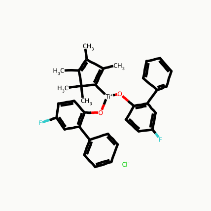 CC1=C(C)C(C)(C)[C]([Ti+]([O]c2ccc(F)cc2-c2ccccc2)[O]c2ccc(F)cc2-c2ccccc2)=C1C.[Cl-]